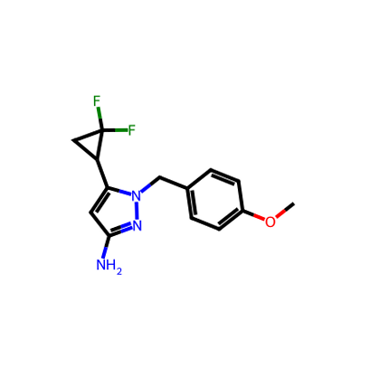 COc1ccc(Cn2nc(N)cc2C2CC2(F)F)cc1